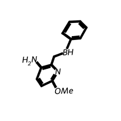 COc1ccc(N)c(CBc2ccccc2)n1